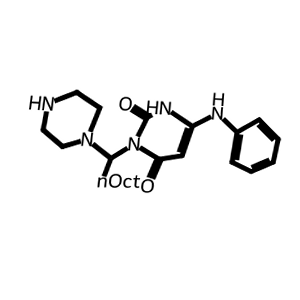 CCCCCCCCC(N1CCNCC1)n1c(=O)cc(Nc2ccccc2)[nH]c1=O